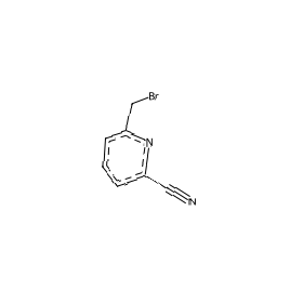 N#Cc1cccc(CBr)n1